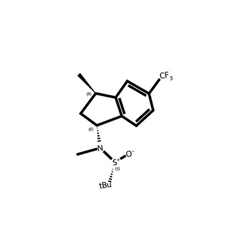 C[C@@H]1C[C@@H](N(C)[S@+]([O-])C(C)(C)C)c2ccc(C(F)(F)F)cc21